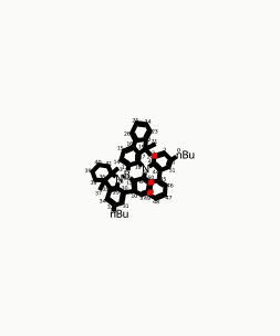 CCCCc1ccc(N2c3cccc4c3B(c3ccc5c(c32)C(C)(C)c2ccccc2-5)N2c3c-4cc(CCCC)cc3C3(C)CCCCC23C)c(-c2ccccc2)c1